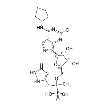 CC(CC1=NNNN1)(OC[C@H]1O[C@@H](n2ncc3c(NC4CCCC4)nc(Cl)nc32)[C@H](O)[C@@H]1O)P(=O)(O)O